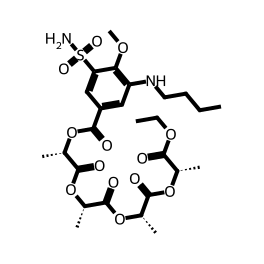 CCCCNc1cc(C(=O)O[C@@H](C)C(=O)O[C@@H](C)C(=O)O[C@@H](C)C(=O)O[C@@H](C)C(=O)OCC)cc(S(N)(=O)=O)c1OC